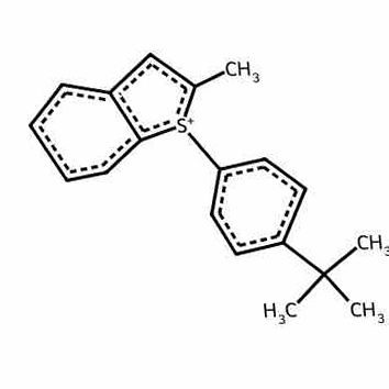 Cc1cc2ccccc2[s+]1-c1ccc(C(C)(C)C)cc1